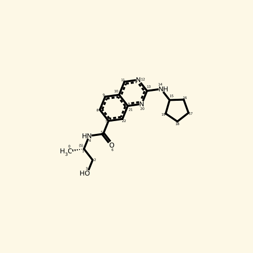 C[C@@H](CO)NC(=O)c1ccc2cnc(NC3CCCC3)nc2c1